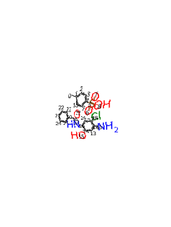 Cc1ccc(S(=O)(=O)O)cc1.Nc1cc(O)c(NC(=O)c2ccccc2)cc1Cl